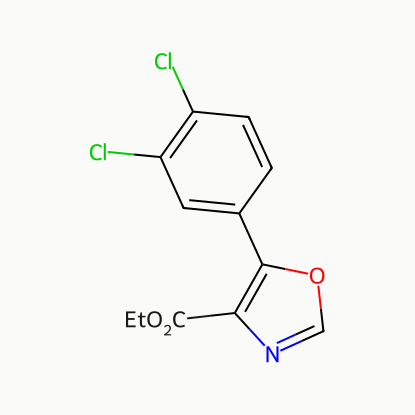 CCOC(=O)c1ncoc1-c1ccc(Cl)c(Cl)c1